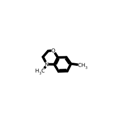 Cc1ccc2c(c1)OCCN2C